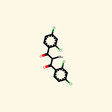 CC[C](C)C(C(=O)c1ccc(Cl)cc1Cl)C(=O)c1ccc(Cl)cc1Cl